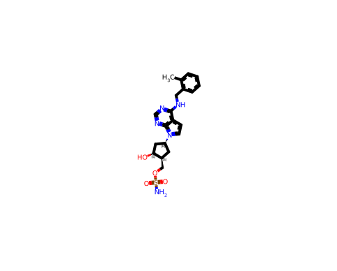 Cc1ccccc1CNc1ncnc2c1ccn2[C@@H]1C[C@@H](COS(N)(=O)=O)[C@@H](O)C1